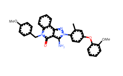 COc1ccc(Cn2c(=O)c3c(N)n(-c4ccc(Oc5ccccc5OC)cc4C)nc3c3ccccc32)cc1